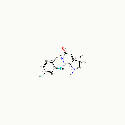 CN1CC(C)(C)c2cc(=O)n(Cc3ccc(F)cc3F)cc21